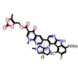 CNc1cc(F)c(C#N)c2c1[nH]c1ncc(-c3cnc4c(c3)c(=O)c(C(=O)OCc3oc(=O)oc3C)cn4C)c(N3CC[C@H]4CN(C)C[C@]43C)c12